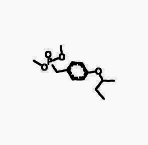 CCC(C)Oc1ccc(CP(=O)(OC)OC)cc1